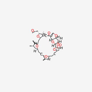 C=C1C[C@@H]2CC[C@@]34C[C@H]5O[C@H]6[C@@H](O3)[C@H]3OC(CC[C@@H]3O[C@H]6C5O4)CC(=O)C[C@H]3C(C[C@H]4O[C@@H](CCC1O2)C[C@@H](C)C4=C)O[C@H](C[C@H]1CO1)[C@@H]3C